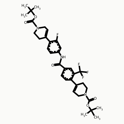 CC(C)(C)OC(=O)N1CC=C(c2ccc(NC(=O)c3ccc(C4=CCN(C(=O)OC(C)(C)C)CC4)c(C(F)(F)F)c3)cc2F)CC1